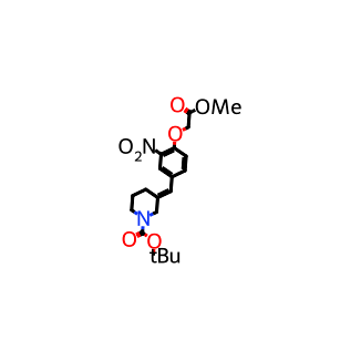 COC(=O)COc1ccc(C=C2CCCN(C(=O)OC(C)(C)C)C2)cc1[N+](=O)[O-]